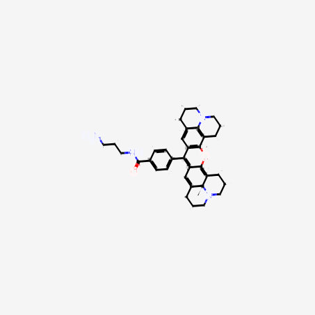 C[C@@]12C3=CC4=C(c5ccc(C(=O)NCCCN)cc5)c5cc6c7c(c5OC4=C1CCCN2CCC3)CCCN7CCC6